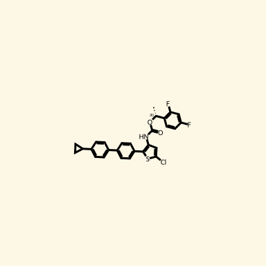 C[C@@H](OC(=O)Nc1cc(Cl)sc1-c1ccc(-c2ccc(C3CC3)cc2)cc1)c1ccc(F)cc1F